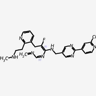 C=N/C=N\C(NCc1cnc(-c2ccnc(C)c2)nc1)=C(\F)Cc1cccnc1CCNC